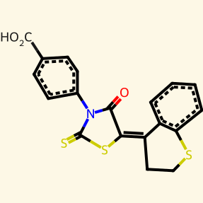 O=C(O)c1ccc(N2C(=O)C(=C3CCSc4ccccc43)SC2=S)cc1